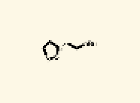 CCCCCC[C@H]1CCSS1